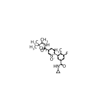 Cc1c(F)cc(C(=O)NC2CC2)cc1-c1ccc(C(=O)N[C@H](C)C(C)(C)C)c[n+]1[O-]